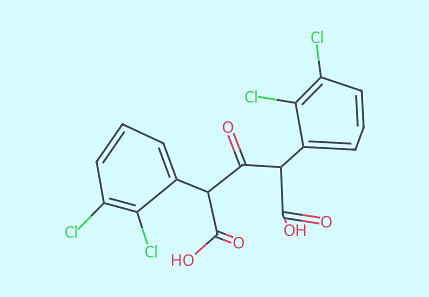 O=C(O)C(C(=O)C(C(=O)O)c1cccc(Cl)c1Cl)c1cccc(Cl)c1Cl